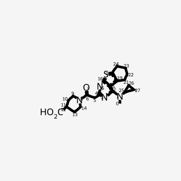 CN(c1nc(CC(=O)N2CCC(C(=O)O)CC2)nc2sc3c(c12)CCCC3)C1CC1